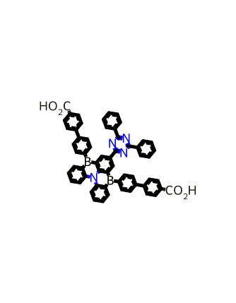 O=C(O)c1ccc(-c2ccc(B3c4ccccc4N4c5ccccc5B(c5ccc(-c6ccc(C(=O)O)cc6)cc5)c5cc(-c6nc(-c7ccccc7)nc(-c7ccccc7)n6)cc3c54)cc2)cc1